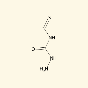 NNC(=O)N[C]=S